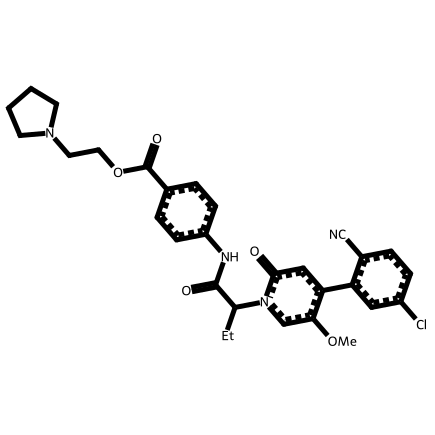 CCC(C(=O)Nc1ccc(C(=O)OCCN2CCCC2)cc1)n1cc(OC)c(-c2cc(Cl)ccc2C#N)cc1=O